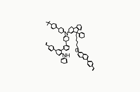 C=Cc1ccc(-c2ccc3cc(OCCCCCCC4(C5=CCCC=C5)C5=CC(N(C6=CCC(C7=CCC(C(C)(C)C)C=C7)CC6)C6=CCC(c7cccc(C8=CC(C9=CCC(C=C)C=C9)CC=C8NC8=CCCC=C8)c7)CC6)CCC5C5=C4C=CCC5)ccc3c2)cc1